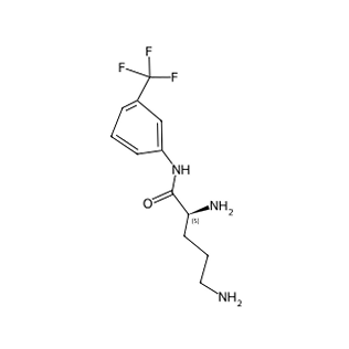 NCCC[C@H](N)C(=O)Nc1cccc(C(F)(F)F)c1